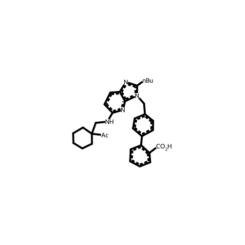 CCCCc1nc2ccc(NCC3(C(C)=O)CCCCC3)nc2n1Cc1ccc(-c2ccccc2C(=O)O)cc1